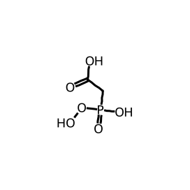 O=C(O)CP(=O)(O)OO